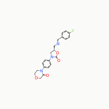 O=C1COCCN1c1ccc(N2C[C@@H](C/N=C/c3ccc(F)cc3)OC2=O)cc1